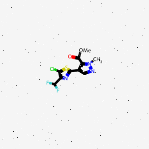 COC(=O)c1c(-c2nc(C(F)F)c(Cl)s2)cnn1C